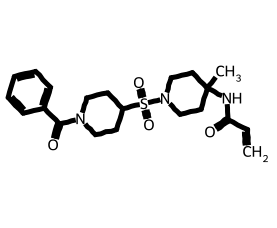 C=CC(=O)NC1(C)CCN(S(=O)(=O)C2CCN(C(=O)c3ccccc3)CC2)CC1